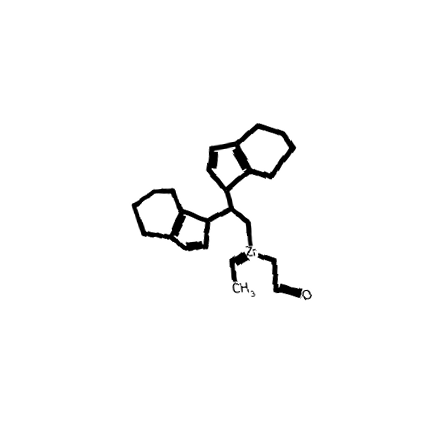 C[CH]=[Zr]([CH2]C=O)[CH2]C(C1C=CC2=C1CCCC2)C1C=CC2=C1CCCC2